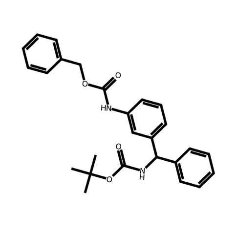 CC(C)(C)OC(=O)NC(c1ccccc1)c1cccc(NC(=O)OCc2ccccc2)c1